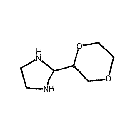 C1CNC([C]2COCCO2)N1